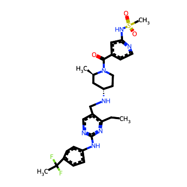 CCc1nc(Nc2ccc(C(C)(F)F)cc2)ncc1CN[C@H]1CCN(C(=O)c2ccnc(NS(C)(=O)=O)c2)[C@H](C)C1